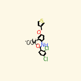 O=C(Nc1ccc(OCc2ccsc2)cc1C(=O)[O-])c1ccc(Cl)cc1Cl.[Li+]